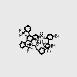 Cn1c(C(=O)Nc2ccc(Br)cc2-c2noc(=O)[nH]2)cc2c(-c3ccccc3C(F)(F)F)cc(-c3ccccc3C(F)(F)F)c(NC(=O)Cc3ccccc3)c21